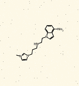 C[n+]1ccn(CCCNCCn2ccc3c(N)cccc32)c1